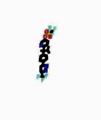 CC(C)C(C)(c1ccc(-c2ccc(C(F)(F)F)nn2)cc1)c1ccc(OS(=O)(=O)C(F)(F)F)cn1